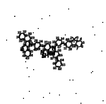 CC1(C)c2ccccc2-c2ccc(-c3cccc(N(C4=CC=C(c5ccc(-n6c7ccc8ccccc8c7c7ccc8ccccc8c76)cc5)/C(=N/S)C4=N)c4ccc(-c5ccccc5)cc4)c3)cc21